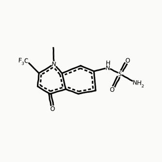 Cn1c(C(F)(F)F)cc(=O)c2ccc(NS(N)(=O)=O)cc21